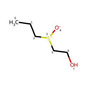 CCC[S+]([O-])CCO